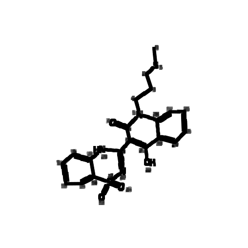 CSCCCn1c(=O)c(C2=NS(=O)(=O)c3ccccc3N2)c(O)c2ccccc21